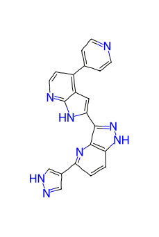 c1cc(-c2ccnc3[nH]c(-c4n[nH]c5ccc(-c6cn[nH]c6)nc45)cc23)ccn1